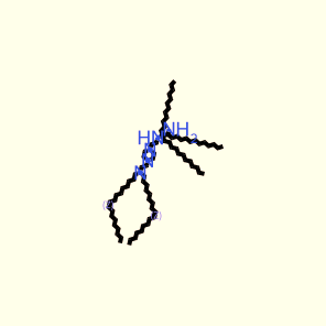 CCCCCCCC/C=C\CCCCCCCCN(CCCCCCCC/C=C\CCCCCCCC)CCN1CCN(CCNC(CCCCCCCCCCCC)(CCCCCCCCCCCC)C(N)CCCCCCCCCCCC)CC1